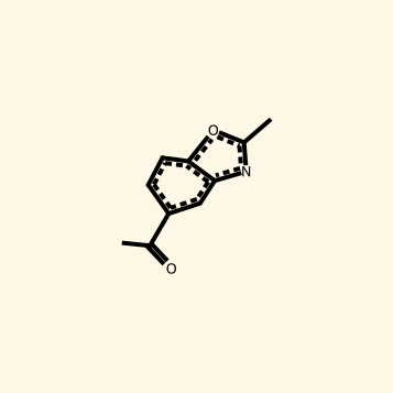 CC(=O)c1ccc2oc(C)nc2c1